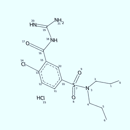 CCCN(CCC)S(=O)(=O)c1ccc(Cl)c(C(=O)NC(=N)N)c1.Cl